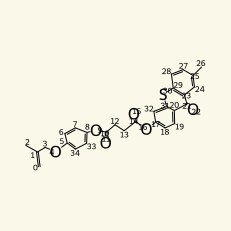 C=C(C)COc1ccc(OC(=O)CCC(=O)Oc2ccc3c(=O)c4cc(C)ccc4sc3c2)cc1